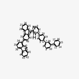 C1=CC(c2ccc(-c3cccc(-c4ccccc4)c3)cc2)NC(n2c3ccccc3c3cc(-c4cccc5c4sc4ccccc45)ccc32)=N1